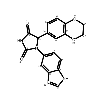 O=C1NC(=O)N(c2ccc3[nH]cnc3c2)C1c1ccc2c(c1)OCCO2